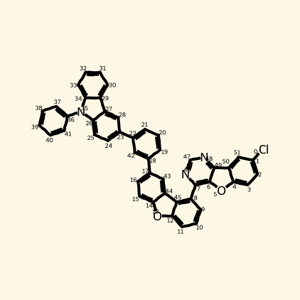 Clc1ccc2oc3c(-c4cccc5oc6ccc(-c7cccc(-c8ccc9c(c8)c8ccccc8n9-c8ccccc8)c7)cc6c45)ncnc3c2c1